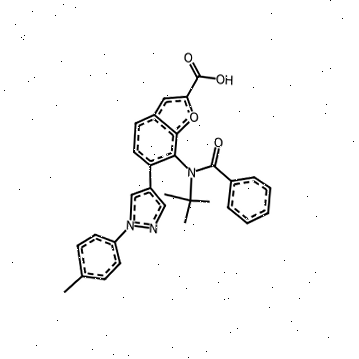 Cc1ccc(-n2cc(-c3ccc4cc(C(=O)O)oc4c3N(C(=O)c3ccccc3)C(C)(C)C)cn2)cc1